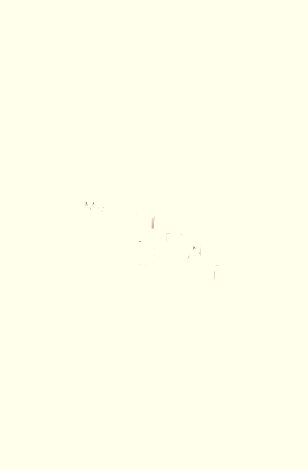 COC1=CC=C(P2CC3CC2CN3SI)C2(CCCC2)C1